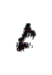 CCC1CC2CCCC(CC2)C12c1ccccc1-c1c(N(c3ccc(-c4cccc5c4sc4ccc(-c6ccc7c(c6)C(C)(C)c6cc(N(c8ccc(-c9ccc%10sc%11ccccc%11c%10c9)cc8)c8cccc9c8-c8ccccc8C98CC9CCC%10CC9CC8C%10)ccc6-7)cc45)cc3)c3ccc4c(c3)C(C)(C)c3ccccc3-4)cccc12